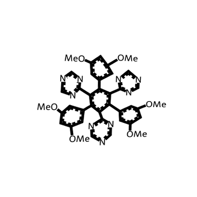 COc1cc(OC)cc(-c2c(-c3ncncn3)c(-c3cc(OC)cc(OC)c3)c(-c3ncncn3)c(-c3cc(OC)cc(OC)c3)c2-c2ncncn2)c1